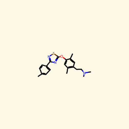 Cc1ccc(-c2nsc(Oc3cc(C)c(CCN(C)C)cc3C)n2)cc1